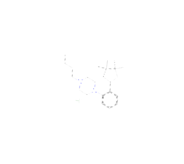 CCCCN1CCN(c2ccccc2C2CC(C)(C)C(C)(C)C2)CC1.Cl